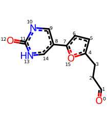 O=CCCc1ccc(-c2cnc(=O)[nH]c2)o1